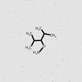 CC(C)C(O[SiH3])C(C)C